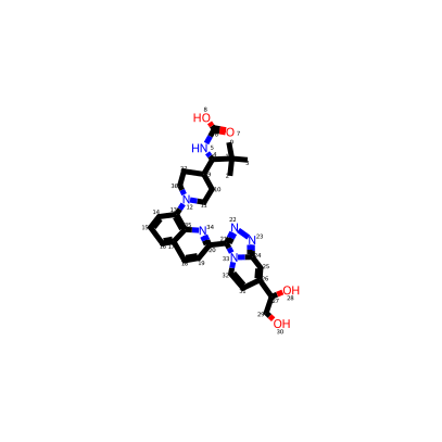 CC(C)(C)C(NC(=O)O)C1CCN(c2cccc3ccc(-c4nnc5cc(C(O)CO)ccn45)nc23)CC1